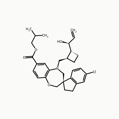 C=C[C@H](O)[C@@H]1CC[C@H]1CN1C[C@@]2(CCc3cc(Cl)ccc32)COc2ccc(C(=O)OCC(C)C)cc21